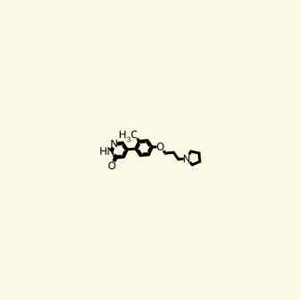 Cc1cc(OCCCN2CCCC2)ccc1-c1cn[nH]c(=O)c1